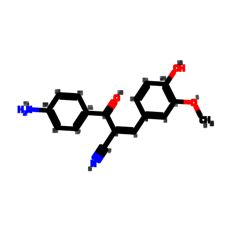 COc1cc(C=C(C#N)C(=O)c2ccc(N)cc2)ccc1O